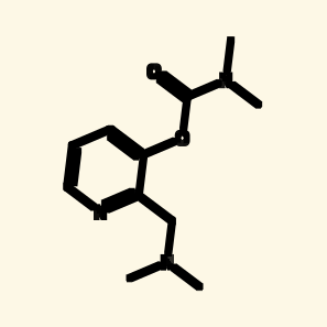 CN(C)Cc1ncccc1OC(=O)N(C)C